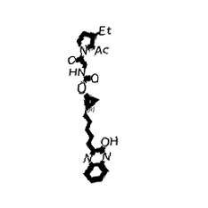 CC[C@@H]1CCN(C(=O)CNC(=O)OC2C[C@H]2CCCCCc2nc3ccccc3nc2O)[C@@H]1C(C)=O